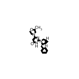 CC1CN(c2cc(=O)[nH]c(N3C[C@@H]4C[C@@H]4[C@H]3Cc3ccccc3)n2)CCO1